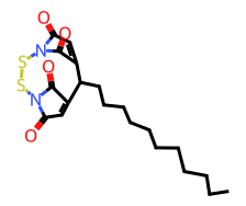 CCCCCCCCCCCC1C2=CC(=O)N(SSN3C(=O)C=C1C3=O)C2=O